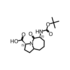 CC(C)(C)OC(=O)N[C@H]1CCCC2CC[C@@H](C(=O)O)N2C1=O